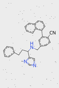 Cn1cncc1C(CCc1ccccc1)NCc1ccc(C#N)c(-c2cccc3ccccc23)c1